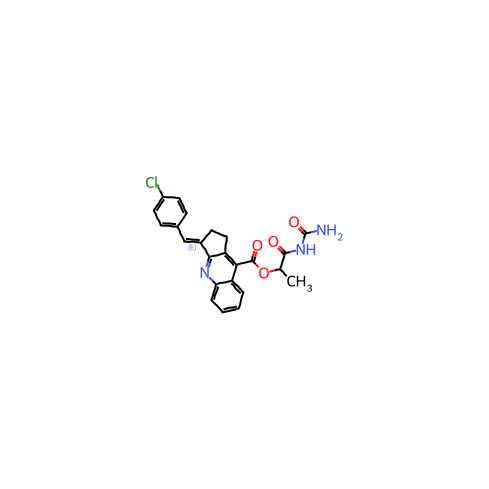 CC(OC(=O)c1c2c(nc3ccccc13)/C(=C/c1ccc(Cl)cc1)CC2)C(=O)NC(N)=O